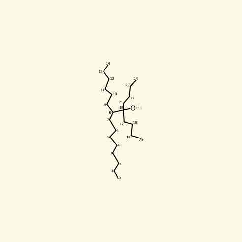 CCCCCCCCC(CCCCCC)C([O])(CCCC)CCCC